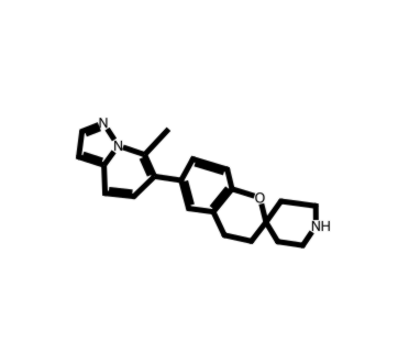 Cc1c(-c2ccc3c(c2)CCC2(CCNCC2)O3)ccc2ccnn12